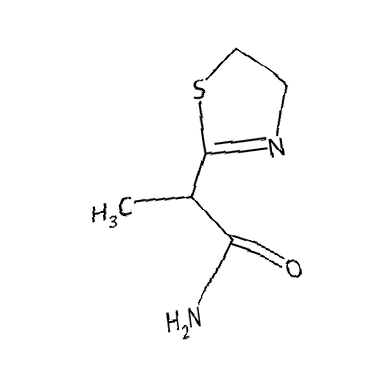 CC(C(N)=O)C1=NCCS1